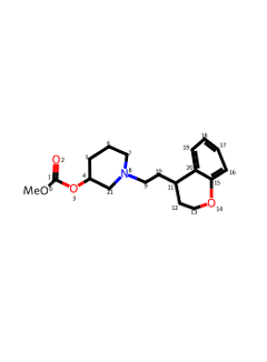 COC(=O)OC1CCCN(CCC2CCOc3ccccc32)C1